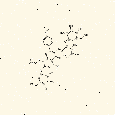 COc1ccc(-c2oc3c(CC=C(C)C)c(O[C@@H]4O[C@H](CO)[C@@H](O)[C@H](O)[C@H]4O)cc(O)c3c(=O)c2O[C@@H]2O[C@@H](C)[C@H](O)[C@@H](O)[C@H]2O[C@@H]2O[C@H](CO)[C@@H](O)[C@H](O)[C@H]2O)cc1